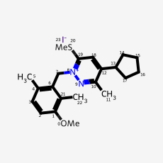 COc1ccc(C)c(C[n+]2nc(C)c(C3CCCC3)cc2SC)c1C.[I-]